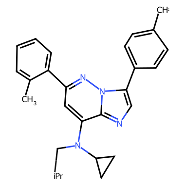 [CH]c1ccc(-c2cnc3c(N(CC(C)C)C4CC4)cc(-c4ccccc4C)nn23)cc1